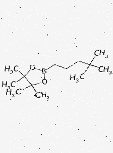 CC(C)(C)CCCB1OC(C)(C)C(C)(C)O1